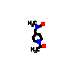 CC(=O)N1CCC(CN(C)C=O)CC1